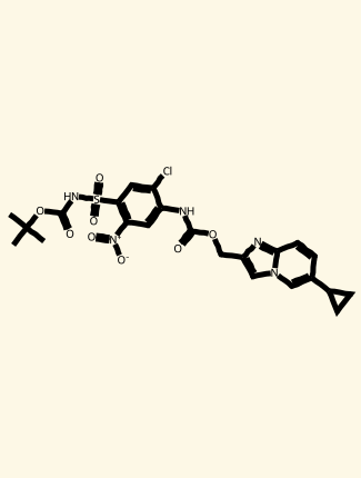 CC(C)(C)OC(=O)NS(=O)(=O)c1cc(Cl)c(NC(=O)OCc2cn3cc(C4CC4)ccc3n2)cc1[N+](=O)[O-]